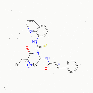 CC(C)C[C@H](N)C(=O)N(C(=S)Nc1cccc2cccnc12)C(C)NC(=O)/C=C/c1ccccc1